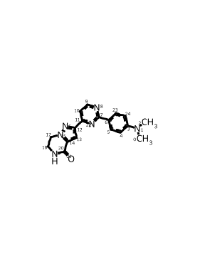 CN(C)c1ccc(-c2nccc(-c3cc4n(n3)CCNC4=O)n2)cc1